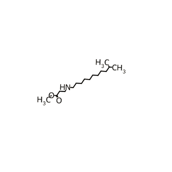 COC(=O)CCNCCCCCCCCCC(C)C